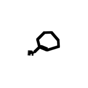 [CH2]C(C)C1=CCCCCC1